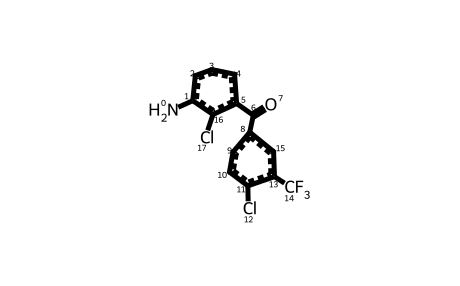 Nc1cccc(C(=O)c2ccc(Cl)c(C(F)(F)F)c2)c1Cl